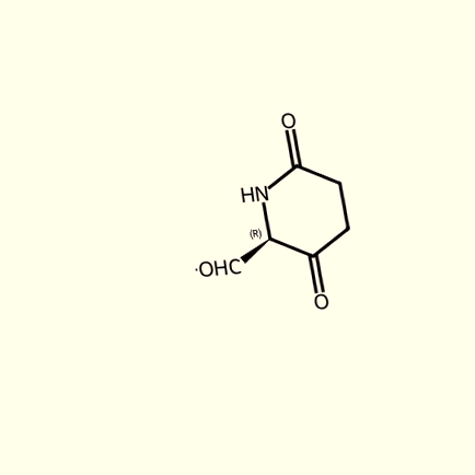 O=[C][C@H]1NC(=O)CCC1=O